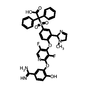 CN1CC=NC1c1cc(S(=O)(=O)C(C(=O)O)(c2ccccc2)c2ccccc2)ccc1Oc1c(F)cnc(Oc2cc(C(=N)N)ccc2O)c1F